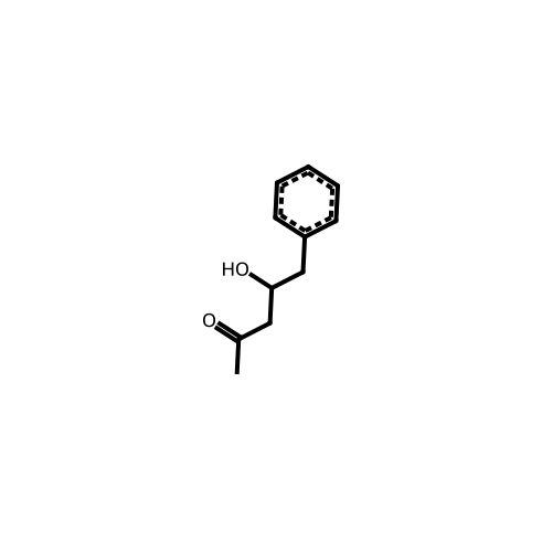 CC(=O)CC(O)Cc1ccccc1